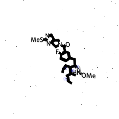 C\C=C/C(C)=C(\C=C/C)C(/Cc1ccc(F)c(C(=O)N2Cc3cnc(SC)nc3C2)c1)=N\NOC